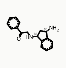 N[C@@H]1C[C@H](NCC(=O)c2ccccc2)c2ccccc21